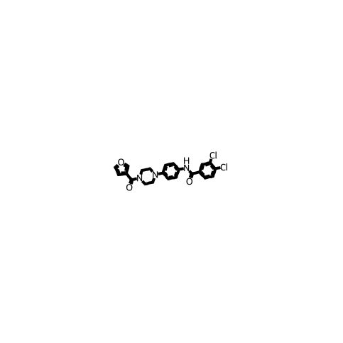 O=C(Nc1ccc(N2CCN(C(=O)c3ccoc3)CC2)cc1)c1ccc(Cl)c(Cl)c1